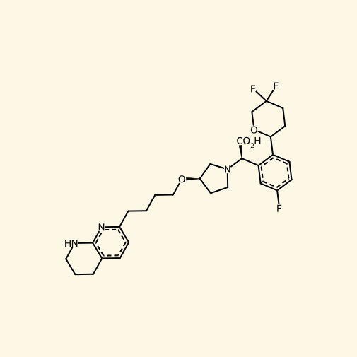 O=C(O)[C@@H](c1cc(F)ccc1C1CCC(F)(F)CO1)N1CC[C@@H](OCCCCc2ccc3c(n2)NCCC3)C1